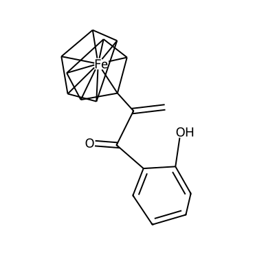 C=C(C(=O)c1ccccc1O)[C]12[CH]3[CH]4[CH]5[CH]1[Fe]45321678[CH]2[CH]1[CH]6[CH]7[CH]28